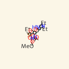 CCOCc1cc(Cc2cc3c(CC)nc(CC)cc3[nH]c2=O)ccc1-c1cc(C)sc1S(=O)(=O)N(COCCOC)c1noc(C)c1C